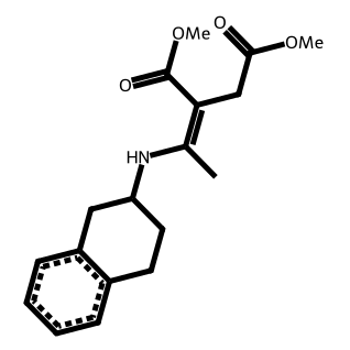 COC(=O)CC(C(=O)OC)=C(C)NC1CCc2ccccc2C1